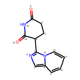 O=C1CCC(c2ncc3ccccn23)C(=O)N1